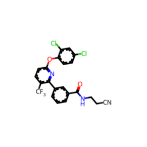 N#CCCNC(=O)c1cccc(-c2nc(Oc3ccc(Cl)cc3Cl)ccc2C(F)(F)F)c1